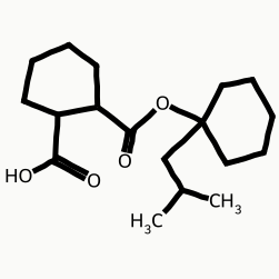 CC(C)CC1(OC(=O)C2CCCCC2C(=O)O)CCCCC1